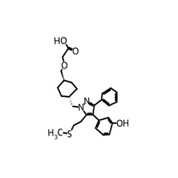 CSCCc1c(-c2cccc(O)c2)c(-c2ccccc2)nn1C[C@H]1CC[C@H](COCC(=O)O)CC1